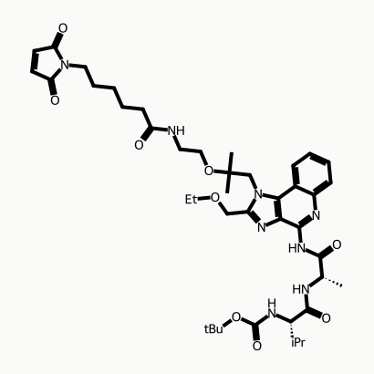 CCOCc1nc2c(NC(=O)[C@H](C)NC(=O)[C@@H](NC(=O)OC(C)(C)C)C(C)C)nc3ccccc3c2n1CC(C)(C)OCCNC(=O)CCCCCN1C(=O)C=CC1=O